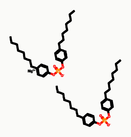 CCCCCCCCc1ccc(OP(=O)([O-])Oc2ccc(CCCCCCCC)cc2)cc1.CCCCCCCCc1ccc(OP(=O)([O-])Oc2ccc(CCCCCCCC)cc2)cc1.[Mg+2]